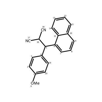 COc1ccc(C(c2cccc3ccccc23)C(C#N)C#N)cc1